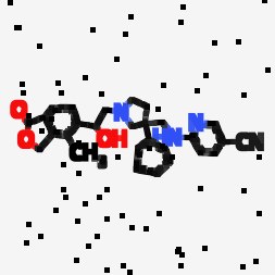 Cc1c(C(O)CN2CCC(CNc3ccc(C#N)cn3)(c3ccccc3)C2)ccc2c1COC2=O